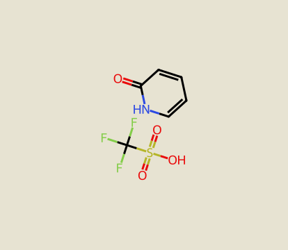 O=S(=O)(O)C(F)(F)F.O=c1cccc[nH]1